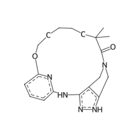 CC1(C)CCCCCOc2cccc(n2)Nc2n[nH]c3c2CN(C3)C1=O